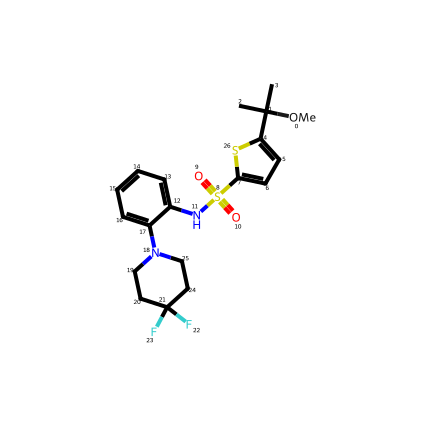 COC(C)(C)c1ccc(S(=O)(=O)Nc2ccccc2N2CCC(F)(F)CC2)s1